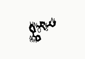 O=C(Nc1cccc(/C(=N/O)c2ccccc2)c1)c1ccn2c1CSC2c1cccnc1